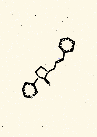 S=C1N(C/C=C/c2ccccc2)CCN1c1cccnc1